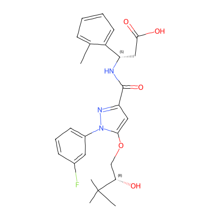 Cc1ccccc1[C@H](CC(=O)O)NC(=O)c1cc(OC[C@H](O)C(C)(C)C)n(-c2cccc(F)c2)n1